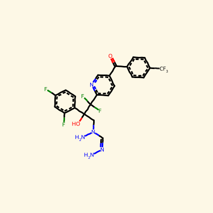 N/N=C\N(N)CC(O)(c1ccc(F)cc1F)C(F)(F)c1ccc(C(=O)c2ccc(C(F)(F)F)cc2)cn1